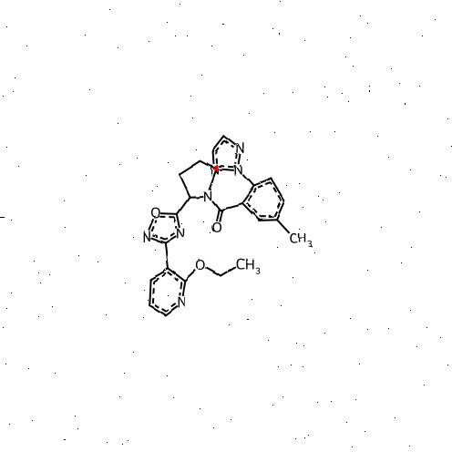 CCOc1ncccc1-c1noc(C2CCCN2C(=O)c2cc(C)ccc2-n2nccn2)n1